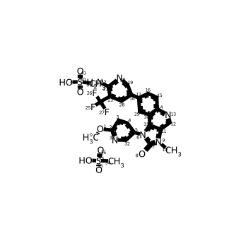 COc1ccc(-n2c(=O)n(C)c3cnc4ccc(-c5cnc(N)c(C(F)(F)F)c5)cc4c32)cn1.CS(=O)(=O)O.CS(=O)(=O)O